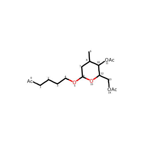 CC(=O)CCCCOC1CC(C)C(OC(C)=O)C(COC(C)=O)O1